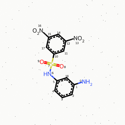 Nc1cccc(NS(=O)(=O)c2cc([N+](=O)[O-])cc([N+](=O)[O-])c2)c1